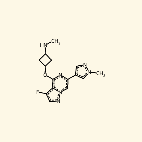 CN[C@H]1C[C@@H](Oc2nc(-c3cnn(C)c3)cn3ncc(F)c23)C1